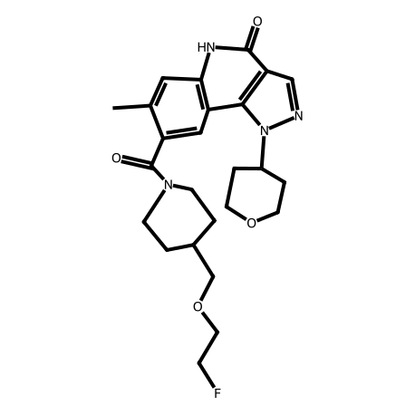 Cc1cc2[nH]c(=O)c3cnn(C4CCOCC4)c3c2cc1C(=O)N1CCC(COCCF)CC1